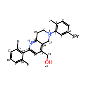 Cc1ccc(C(C)C)cc1N1CCc2nc(-c3c(C)cccc3C)cc(CO)c2C1